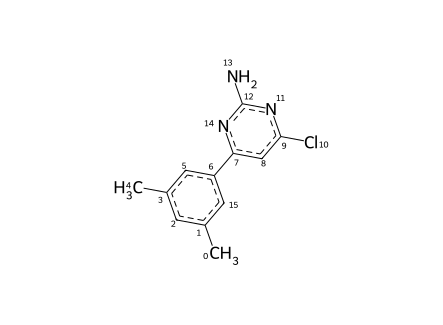 Cc1cc(C)cc(-c2cc(Cl)nc(N)n2)c1